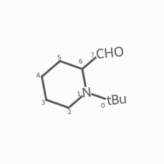 CC(C)(C)N1CCCCC1C=O